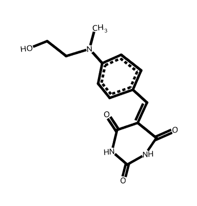 CN(CCO)c1ccc(C=C2C(=O)NC(=O)NC2=O)cc1